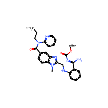 CCCCCCOC(=O)N=C(N)c1ccccc1NCc1nc2cc(C(=O)N(CCC(=O)OCC)c3ccccn3)ccc2n1C